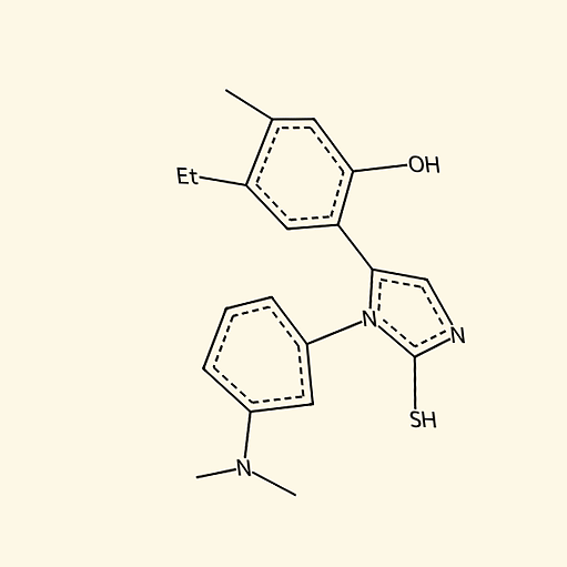 CCc1cc(-c2cnc(S)n2-c2cccc(N(C)C)c2)c(O)cc1C